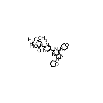 CC(C)(C)CN(C(=O)O)c1ncc(-c2nc(N3CCOCC3)c3ncn(C4CCCCO4)c3n2)cn1